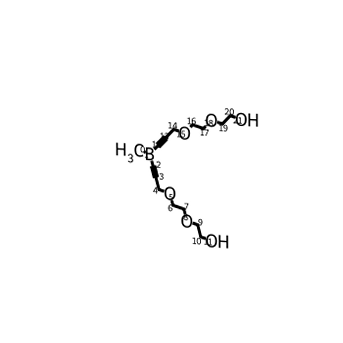 CB(C#CCOCCOCCO)C#CCOCCOCCO